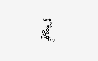 CNC(=O)CN(C)CCNC(=O)c1ccc(N/C(=C2/C(=O)Nc3cc(C(=O)O)c(C)cc32)c2ccccc2)cc1